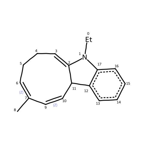 CCN1C2=CCC/C=C(C)\C=C/C2c2ccccc21